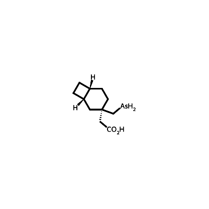 O=C(O)C[C@@]1(C[AsH2])CC[C@H]2CC[C@H]2C1